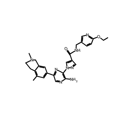 CCOc1ccc(CNC(=O)c2cnn(-c3nc(-c4cc(C)c5c(c4)CN(C)CC5)cnc3N)c2)cn1